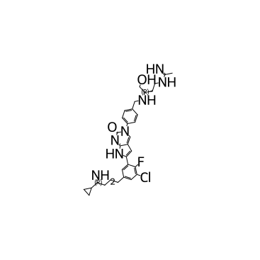 CC(=N)NCC[C@H](CO)NCc1ccc(-n2cc3cc(-c4cc(CCC[C@@H](N)C5CC5)cc(Cl)c4F)[nH]c3nc2=O)cc1